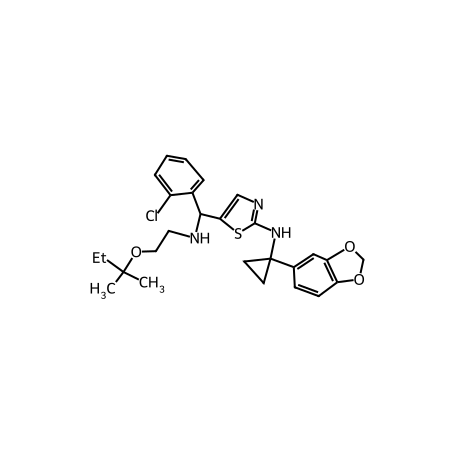 CCC(C)(C)OCCNC(c1cnc(NC2(c3ccc4c(c3)OCO4)CC2)s1)c1ccccc1Cl